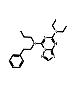 CCCN(CCc1ccccc1)c1nc(N(CC)CC)nc2ncnn12